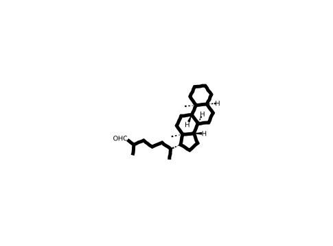 CC(C=O)CCCC(C)[C@H]1CC[C@H]2[C@@H]3CC[C@@H]4CCCC[C@]4(C)[C@H]3CC[C@]12C